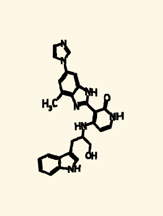 Cc1cc(-n2ccnc2)cc2[nH]c(-c3c(NC(CO)Cc4c[nH]c5ccccc45)cc[nH]c3=O)nc12